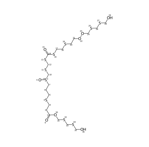 O=C(CCSCCC[S+]([O-])CSCSC(=O)SCCSCCOOCSCSCO)OCSCSCO